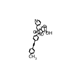 Cc1ccc(C#Cc2ccc(S(=O)(=O)N(Cc3cccnc3)[C@@H]([C]=O)C(=O)NO)cc2)cc1